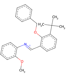 COc1ccccc1/N=C/c1cccc(C(C)(C)C)c1OCc1ccccc1